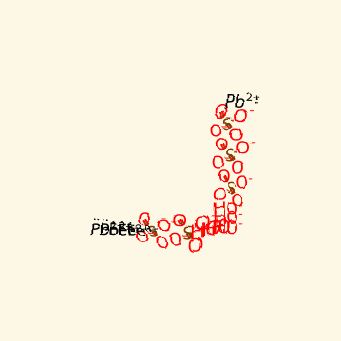 O=S(=O)([O-])[O-].O=S(=O)([O-])[O-].O=S(=O)([O-])[O-].O=S(=O)([O-])[O-].O=S(=O)([O-])[O-].[Fe+3].[Fe+3].[Fe+3].[OH-].[OH-].[OH-].[OH-].[OH-].[Pb+2].[Pb+2].[Pb+2]